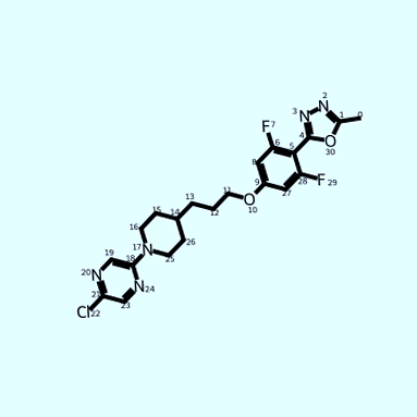 Cc1nnc(-c2c(F)cc(OCCCC3CCN(c4cnc(Cl)cn4)CC3)cc2F)o1